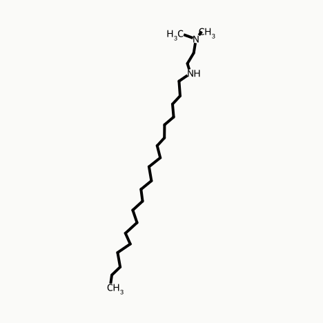 CCCCCCCCCCCCCCCCCCCCNCCN(C)C